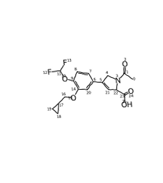 CC(=O)N1CC(c2ccc(OC(F)F)c(OCC3CC3)c2)=CC1C(=O)O